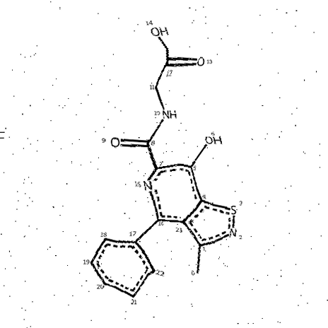 Cc1nsc2c(O)c(C(=O)NCC(=O)O)nc(-c3ccccc3)c12